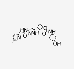 Cc1ccc(CC(=O)Nc2cc([C@@H]3CC[C@H](OC(=O)N[C@H]4CC[C@H](O)CC4)C3)[nH]n2)nc1